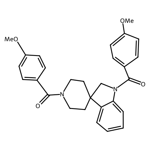 COc1ccc(C(=O)N2CCC3(CC2)CN(C(=O)c2ccc(OC)cc2)c2ccccc23)cc1